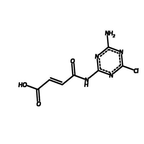 Nc1nc(Cl)nc(NC(=O)/C=C/C(=O)O)n1